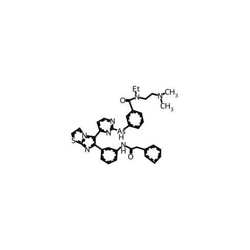 CCN(CCN(C)C)C(=O)c1cccc([AsH]c2nccc(-c3c(-c4cccc(NC(=O)Cc5ccccc5)c4)nc4sccn34)n2)c1